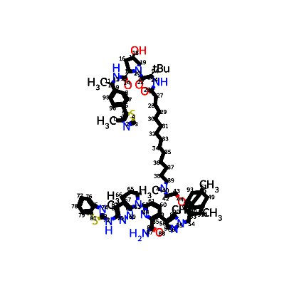 Cc1ncsc1-c1ccc([C@H](C)NC(=O)[C@@H]2C[C@@H](O)CN2C(=O)[C@@H](NC(=O)CCCCCCCCCCCCCN(C)CCOC23CC4(C)CC(C)(CC(Cn5ncc(-c6ccc(N7CCCc8c7nnc(Nc7nc9ccccc9s7)c8C)nc6C(N)=O)c5C)(C4)C2)C3)C(C)(C)C)cc1